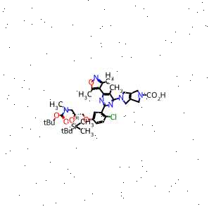 Cc1noc(C)c1-c1nc(-c2cc(OC[C@@H](CN(C)C(=O)OC(C)(C)C)O[Si](C)(C)C(C)(C)C)ccc2Cl)nc(N2CC3=C(CN(C(=O)O)C3)C2)c1C